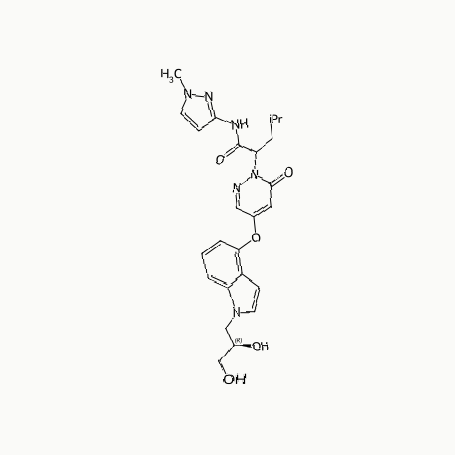 CC(C)CC(C(=O)Nc1ccn(C)n1)n1ncc(Oc2cccc3c2ccn3C[C@@H](O)CO)cc1=O